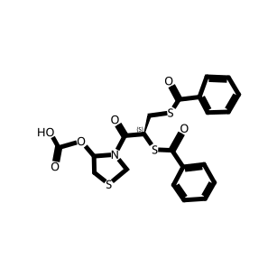 O=C(O)OC1CSCN1C(=O)[C@@H](CSC(=O)c1ccccc1)SC(=O)c1ccccc1